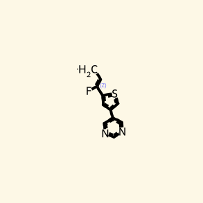 [CH2]/C=C(\F)c1cc(-c2cncnc2)cs1